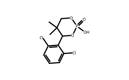 CC1(C)COP(=O)(O)OC1c1c(Cl)cccc1Cl